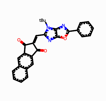 CC(C)(C)n1c(C=C2C(=O)c3cc4ccccc4cc3C2=O)nc2oc(-c3ccccc3)nc21